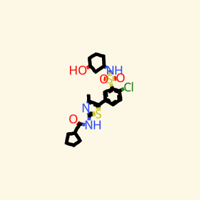 Cc1nc(NC(=O)C2CCCC2)sc1-c1ccc(Cl)c(S(=O)(=O)NC2CCCC(O)C2)c1